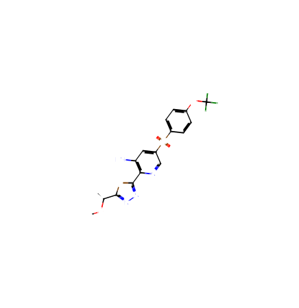 CO[C@@H](C)c1nnc(-c2ncc(S(=O)(=O)c3ccc(OC(F)(F)F)cc3)cc2N)s1